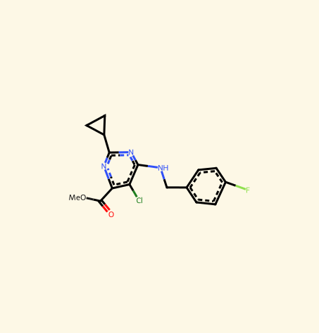 COC(=O)c1nc(C2CC2)nc(NCc2ccc(F)cc2)c1Cl